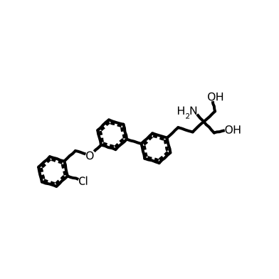 NC(CO)(CO)CCc1cccc(-c2cccc(OCc3ccccc3Cl)c2)c1